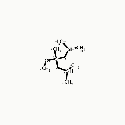 CO[Si](C)(C[SiH](C)C)C[SiH](C)C